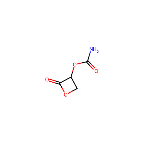 NC(=O)OC1COC1=O